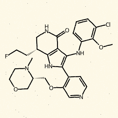 COc1c(Cl)cccc1Nc1c(-c2ccncc2OC[C@@H]2COCCN2C)[nH]c2c1C(=O)NC[C@H]2CCF